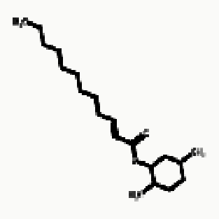 CCCCCCCCCC=CC(=O)OC1CC(C)CCC1C